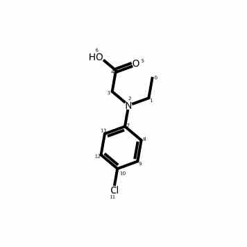 CCN(CC(=O)O)c1ccc(Cl)cc1